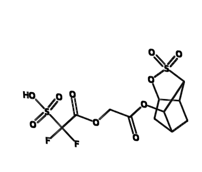 O=C(COC(=O)C(F)(F)S(=O)(=O)O)OC1C2CC3OS(=O)(=O)C1C3C2